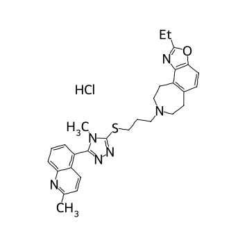 CCc1nc2c3c(ccc2o1)CCN(CCCSc1nnc(-c2cccc4nc(C)ccc24)n1C)CC3.Cl